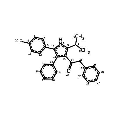 CC(C)c1[nH]c(-c2ccc(F)cc2)c(-c2ccccc2)c1C(=O)Cc1ccccc1